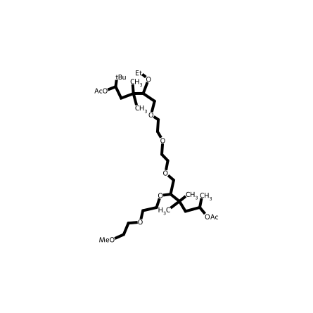 CCOC(COCCOCCOCC(OCCOCCOC)C(C)(C)CC(C)OC(C)=O)C(C)(C)CC(OC(C)=O)C(C)(C)C